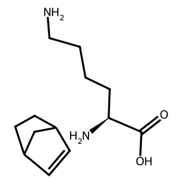 C1=CC2CCC1C2.NCCCC[C@H](N)C(=O)O